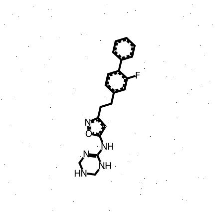 Fc1cc(CCc2cc(NC3=NCNCN3)on2)ccc1-c1ccccc1